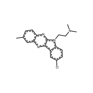 Cc1ccc2nc3c(nc2c1)c1cc(Cl)ccc1n3CCN(C)C